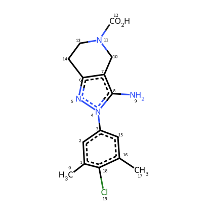 Cc1cc(-n2nc3c(c2N)CN(C(=O)O)CC3)cc(C)c1Cl